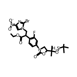 CCOC(=O)C(Cn1cc([N+](=O)[O-])nc1Br)c1ccc(N2CC(C(C)(C)O[SiH2]C(C)(C)C)OC2=O)cc1F